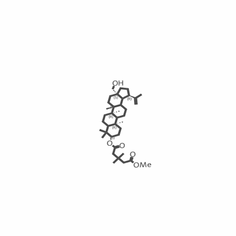 C=C(C)[C@@H]1CC[C@]2(CO)CC[C@]3(C)C(CCC4[C@@]5(C)CC[C@H](OC(=O)CC(C)(C)CC(=O)OC)C(C)(C)C5CC[C@]43C)C12